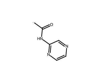 [CH2]C(=O)Nc1cnccn1